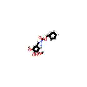 COc1cc(CNC(=O)OCc2ccccc2)cc(OC)c1O